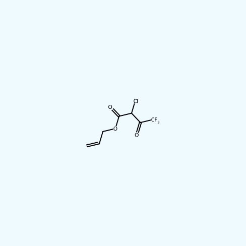 C=CCOC(=O)C(Cl)C(=O)C(F)(F)F